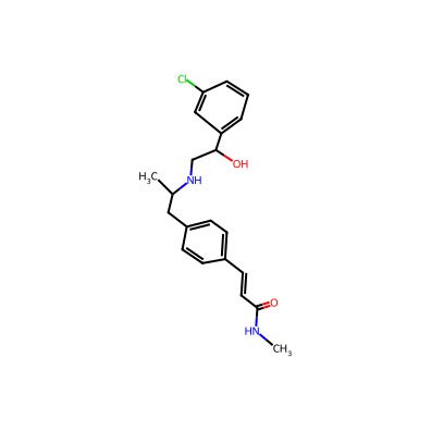 CNC(=O)/C=C/c1ccc(CC(C)NCC(O)c2cccc(Cl)c2)cc1